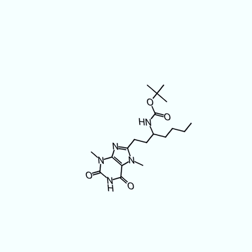 CCCCC(CCc1nc2c(c(=O)[nH]c(=O)n2C)n1C)NC(=O)OC(C)(C)C